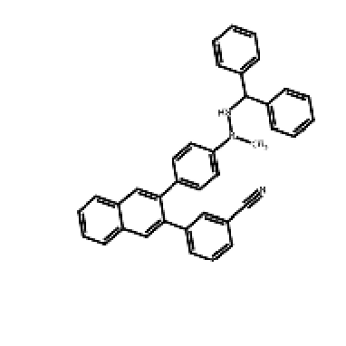 CN(NC(c1ccccc1)c1ccccc1)c1ccc(-c2cc3ccccc3cc2-c2cccc(C#N)c2)cc1